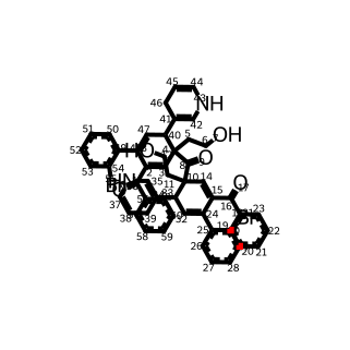 O=C(C1=CC(CCO)(C(=O)C2(CCO)C=C(C(=O)c3ccccc3)C(c3ccccc3Br)=CC2C2=CNC=CC2)C(C2=CNC=CC2)C=C1c1ccccc1Br)c1ccccc1